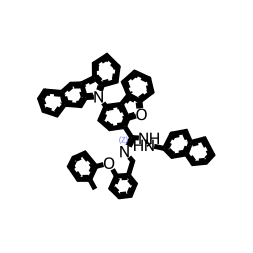 Cc1ccccc1Oc1ccccc1C/N=C(\NNc1ccc2ccccc2c1)c1ccc(-n2c3ccccc3c3cc4ccccc4cc32)c2c1oc1ccccc12